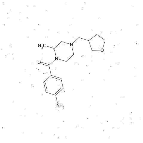 CC1CN(CC2CCOC2)CCN1C(=O)c1ccc(N)cc1